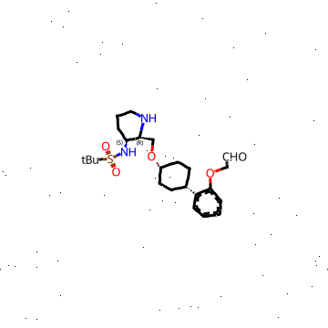 CC(C)(C)S(=O)(=O)N[C@H]1CCCN[C@H]1CO[C@H]1CC[C@@H](c2ccccc2OCC=O)CC1